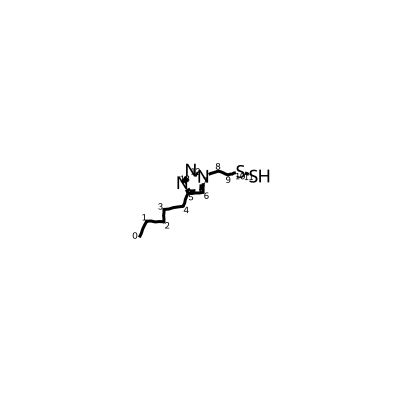 CCCCCc1cn(CCSS)nn1